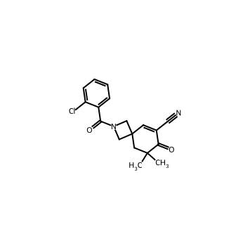 CC1(C)CC2(C=C(C#N)C1=O)CN(C(=O)c1ccccc1Cl)C2